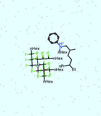 CCCCCCC(F)(F)C(F)(F)[C](F)(F)[Al-]([C](F)(F)C(F)(F)C(F)(F)CCCCCC)([C](F)(F)C(F)(F)C(F)(F)CCCCCC)[C](F)(F)C(F)(F)C(F)(F)CCCCCC.CCCCCC[NH+](CC(C)CCC(CC)CCC)c1ccccc1